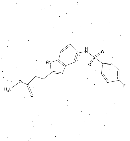 COC(=O)CCc1cc2cc(NS(=O)(=O)c3ccc(F)cc3)ccc2[nH]1